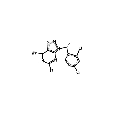 CC(C)C1NC(Cl)=Nc2c1nnn2[C@H](C)c1ccc(Cl)cc1Cl